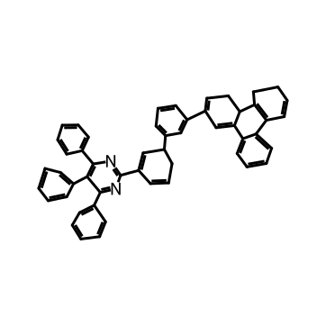 C1=CC2=C(CC1)C1CC=C(c3cccc(C4C=C(c5nc(-c6ccccc6)c(-c6ccccc6)c(-c6ccccc6)n5)C=CC4)c3)C=C1c1ccccc12